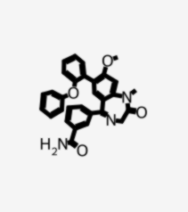 COc1cc2c(cc1-c1ccccc1Oc1ccccc1)C(c1cccc(C(N)=O)c1)=NCC(=O)N2C